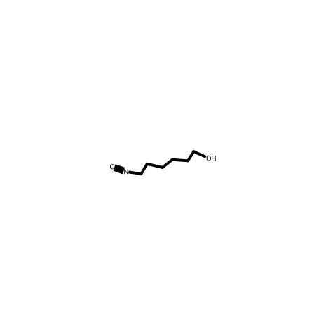 [C-]#[N+]CCCCCCO